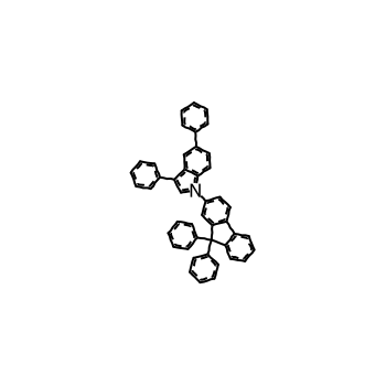 c1ccc(-c2ccc3c(c2)c(-c2ccccc2)cn3-c2ccc3c(c2)C(c2ccccc2)(c2ccccc2)c2ccccc2-3)cc1